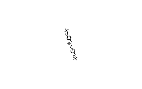 CC(C)(C)COc1ccc(CNCCN2CCC(COC(C)(C)C)CC2)cc1